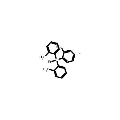 CC[P+](c1ccccc1C)(c1ccccc1C)c1ccccc1C.[I-]